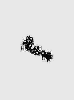 COC(=O)N[C@H](C(=O)N1CC2(CC2)C[C@H]1c1nc(-c2ccc3c(c2)C(O)c2cc(-c4ccc5[nH]c([C@H]6N[C@@H]7CC[C@H]6C7)nc5c4)ccc2-3)c[nH]1)C(C)C